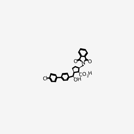 O=C(O)[C@H]1[C@H](CN2C(=O)c3ccccc3C2=O)CC[C@@H]1[C@H](O)c1ccc(-c2ccc(Cl)cc2)cc1